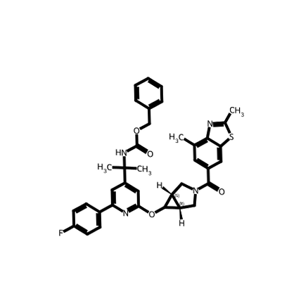 Cc1nc2c(C)cc(C(=O)N3C[C@@H]4C(Oc5cc(C(C)(C)NC(=O)OCc6ccccc6)cc(-c6ccc(F)cc6)n5)[C@@H]4C3)cc2s1